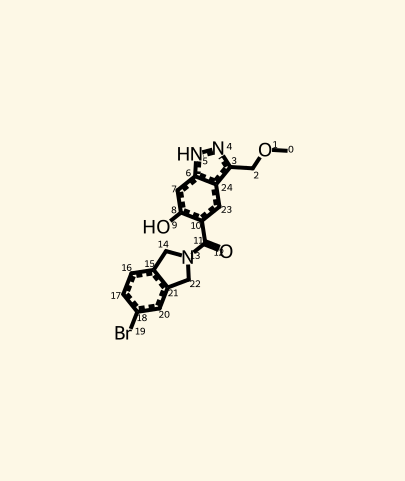 COCc1n[nH]c2cc(O)c(C(=O)N3Cc4ccc(Br)cc4C3)cc12